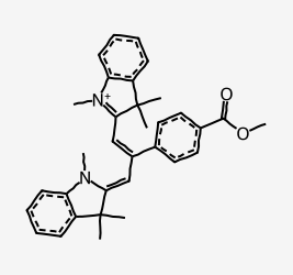 COC(=O)c1ccc(C(=C\C2=[N+](C)c3ccccc3C2(C)C)/C=C2\N(C)c3ccccc3C2(C)C)cc1